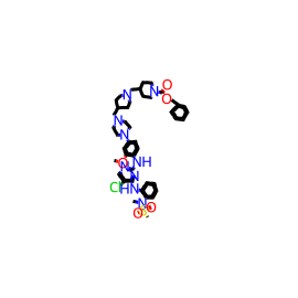 COc1cc(N2CCN(CC3CCN(CC4CCN(C(=O)OCc5ccccc5)CC4)CC3)CC2)ccc1Nc1ncc(Cl)c(Nc2ccccc2N(C)S(C)(=O)=O)n1